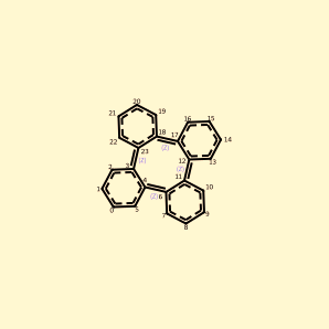 c1ccc2/c(c1)=c1/cccc/c1=c1\cccc\c1=c1/cccc/c1=2